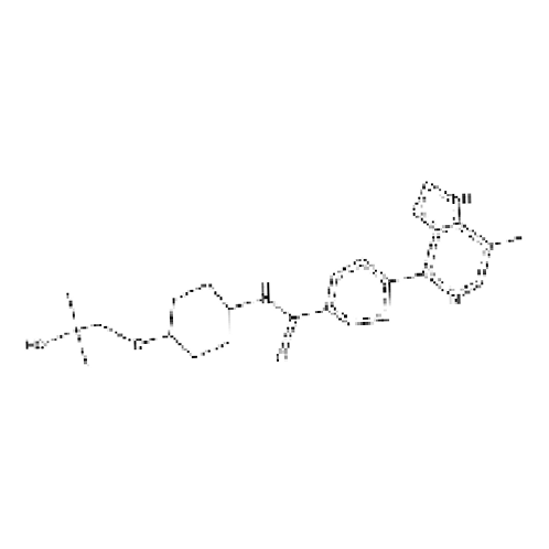 Cc1cnc(-c2ccc(C(=O)NC3CCC(OCC(C)(C)O)CC3)cc2)c2cc[nH]c12